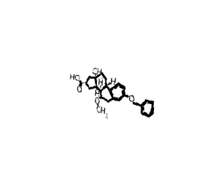 COC1Cc2cc(OCc3ccccc3)ccc2[C@H]2CC[C@]3(C)C[C@@H](C(=O)O)C[C@H]3[C@H]12